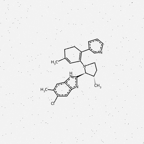 CC1=CC(N2CC[C@H](C)[C@H]2c2nc3cc(Cl)c(C)cc3[nH]2)=C(c2cccnc2)[CH]C1